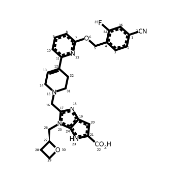 N#Cc1ccc(COc2cccc(C3=CCN(Cc4nc5cc(C(=O)O)[nH]c5n4C[C@@H]4CCO4)CC3)n2)c(F)c1